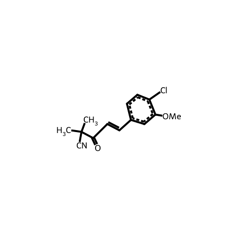 COc1cc(C=CC(=O)C(C)(C)C#N)ccc1Cl